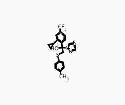 Cc1ccc(SCC(O)(c2ccc(C(F)(F)F)cc2C2CC2)n2cncn2)cc1